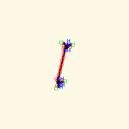 O=C(CCl)Nc1ccc(C(=O)NCCOCCOCCOCCOCCOCCOCCOCCNC(=O)c2ccc(NC(=O)CCl)c(NC(=O)CCl)c2)cc1NC(=O)CCl